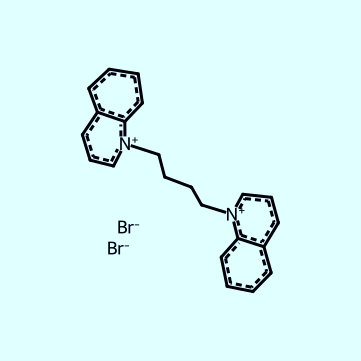 [Br-].[Br-].c1ccc2c(c1)ccc[n+]2CCCC[n+]1cccc2ccccc21